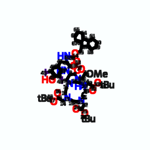 COC(=O)[C@H](C)NC(=O)C(CN1CCN(CC(=O)OC(C)(C)C)CCN(CC(=O)OC(C)(C)C)CCN(CC(=O)OC(C)(C)C)CC1)NC(=O)C(Cc1cc(I)c(O)c(I)c1)NC(=O)OCC1c2ccccc2-c2ccccc21